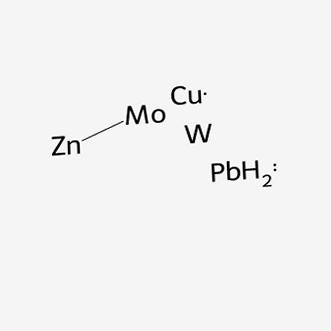 [Cu].[PbH2].[W].[Zn][Mo]